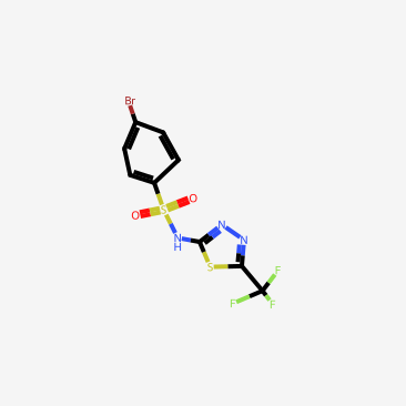 O=S(=O)(Nc1nnc(C(F)(F)F)s1)c1ccc(Br)cc1